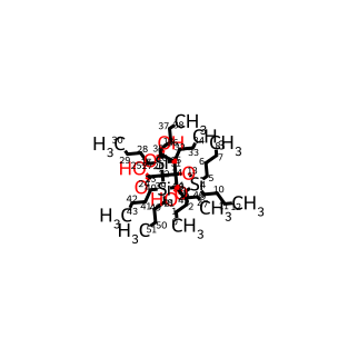 CCCC[Si](CCCC)(CCCC)OC(CC(=O)O)(C(=O)O)C(C(=O)O)([Si](CCCC)(CCCC)CCCC)[Si](CCCC)(CCCC)CCCC